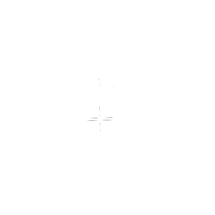 CC.O.O=S(=O)(O)O.[KH]